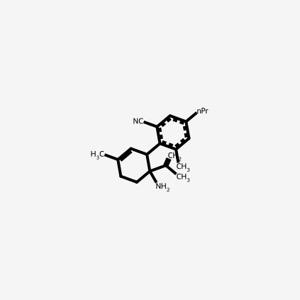 C=C(C)C1(N)CCC(C)=CC1c1c(C)cc(CCC)cc1C#N